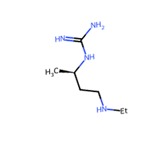 CCNCC[C@@H](C)NC(=N)N